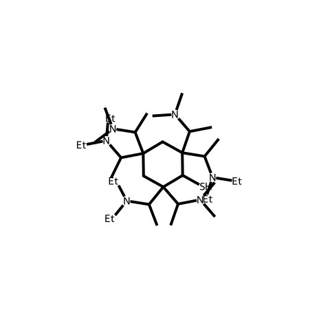 CCN(CC)C(C)C1(C(C)N(C)C)CC(C(C)N(C)C)(C(C)N(CC)CC)C(S)C(C(C)N(C)C)(C(C)N(CC)CC)C1